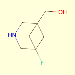 OCC12CNCC(F)(C1)C2